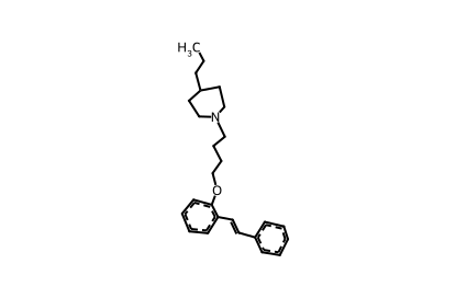 CCCC1CCN(CCCCOc2ccccc2C=Cc2ccccc2)CC1